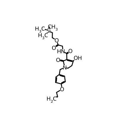 C=CCOc1ccc(CN2CCC(O)=C(C(=O)NCC(=O)OCC[Si](C)(C)C)C2=O)cc1